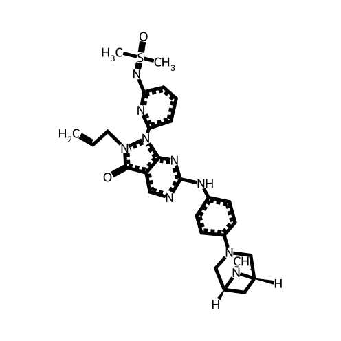 C=CCn1c(=O)c2cnc(Nc3ccc(N4C[C@H]5C[C@@H](C4)N5C)cc3)nc2n1-c1cccc(N=S(C)(C)=O)n1